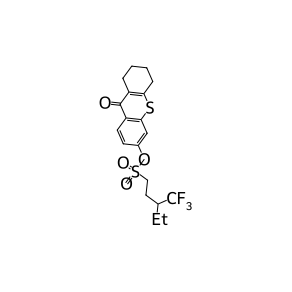 CCC(CCS(=O)(=O)Oc1ccc2c(=O)c3c(sc2c1)CCCC3)C(F)(F)F